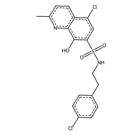 Cc1ccc2c(Cl)cc(S(=O)(=O)NCCc3ccc(Cl)cc3)c(O)c2n1